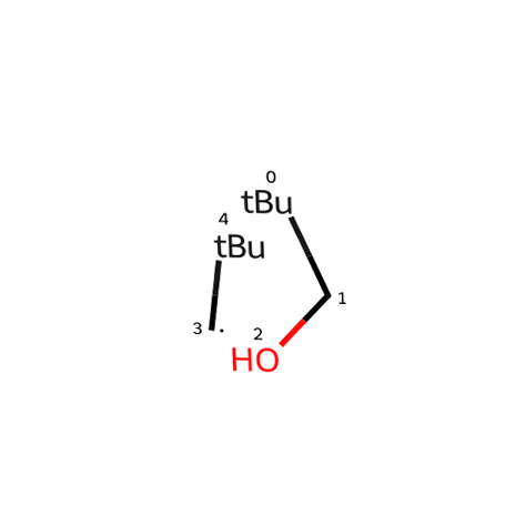 CC(C)(C)CO.[CH2]C(C)(C)C